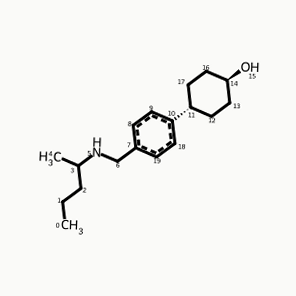 CCCC(C)NCc1ccc([C@H]2CC[C@H](O)CC2)cc1